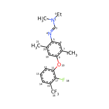 CCN(C)C=Nc1cc(C)c(Oc2cccc(C(F)(F)F)c2F)cc1C